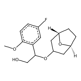 COc1ccc(F)cc1C(CO)OC1C[C@@H]2CC[C@@H](C1)O2